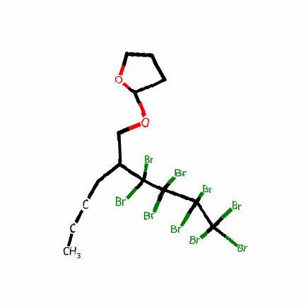 CCCCC(COC1CCCO1)C(Br)(Br)C(Br)(Br)C(Br)(Br)C(Br)(Br)Br